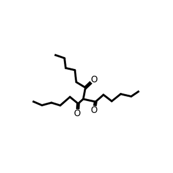 CCCCCC(=O)C(C(=O)CCCCC)C(=O)CCCCC